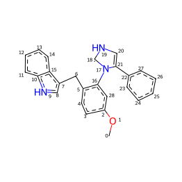 COc1ccc(Cc2c[nH]c3ccccc23)c(N2[CH]NC=C2c2ccccc2)c1